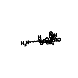 Cc1c(OCC(=O)NCCCCCCCCN)cccc1C(=O)N(C=O)C1CCC(=O)NC1=O